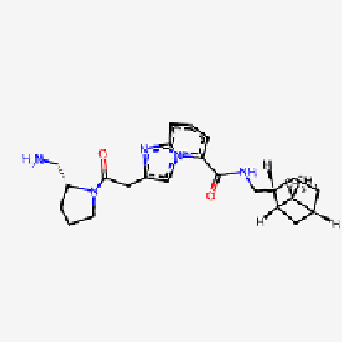 CC1(C)[C@@H]2CC[C@@H](CNC(=O)c3cccc4nc(CC(=O)N5CCC[C@@H]5CN)cn34)[C@H]1C2